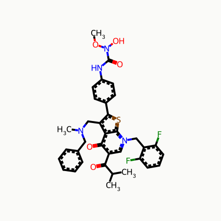 CON(O)C(=O)Nc1ccc(-c2sc3c(c2CN(C)Cc2ccccc2)c(=O)c(C(=O)C(C)C)cn3Cc2c(F)cccc2F)cc1